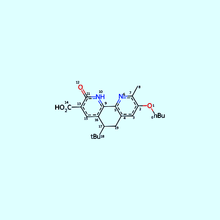 CCCCOc1cc2c(nc1C)-c1[nH]c(=O)c(C(=O)O)cc1C(C(C)(C)C)C2